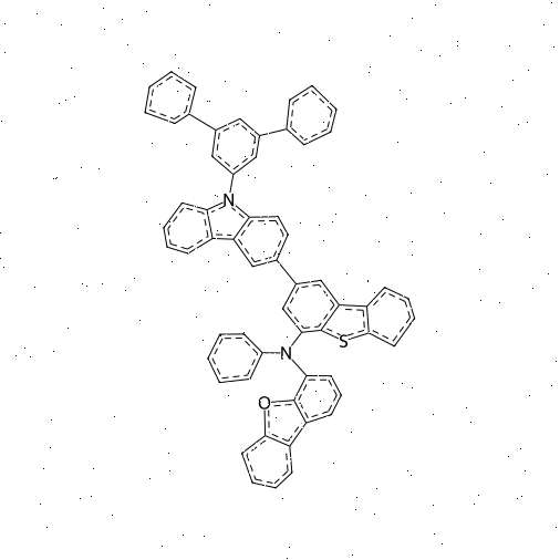 c1ccc(-c2cc(-c3ccccc3)cc(-n3c4ccccc4c4cc(-c5cc(N(c6ccccc6)c6cccc7c6oc6ccccc67)c6sc7ccccc7c6c5)ccc43)c2)cc1